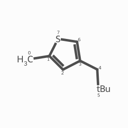 Cc1cc(CC(C)(C)C)cs1